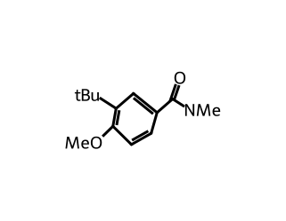 CNC(=O)c1ccc(OC)c(C(C)(C)C)c1